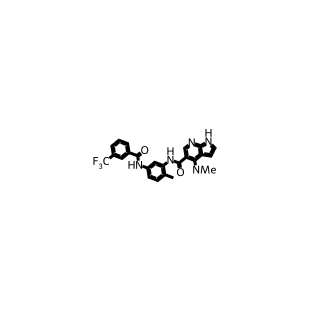 CNc1c(C(=O)Nc2cc(NC(=O)c3cccc(C(F)(F)F)c3)ccc2C)cnc2[nH]ccc12